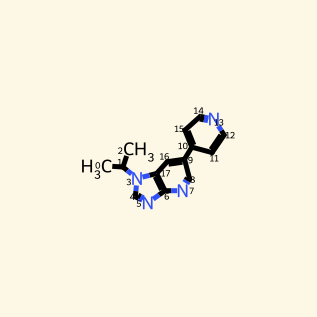 CC(C)n1cnc2ncc(-c3ccncc3)cc21